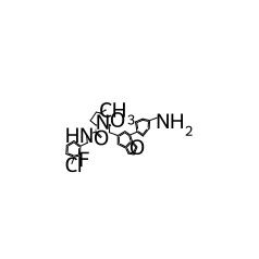 C[C@@H]1CC[C@@H](C(=O)NCc2cccc(Cl)c2F)N1C(=O)Cc1cc(-c2ccc(CN)cc2)c2occc2c1